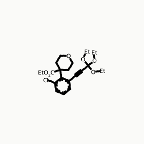 CCOC(=O)C1(c2c(Cl)cccc2C#CC(OCC)(OCC)OCC)CCOCC1